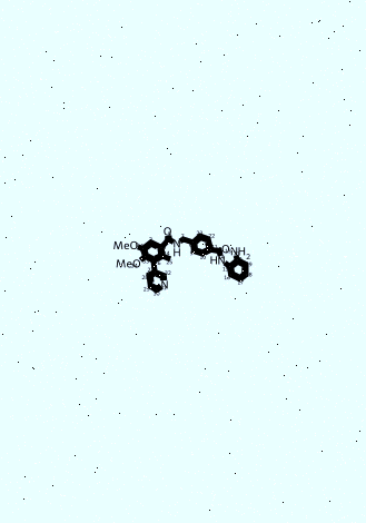 COc1cc(C(=O)NCc2ccc(C(=O)Nc3ccccc3N)cc2)c(C)c(-c2cccnc2)c1OC